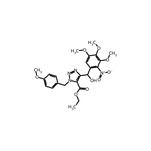 CCOC(=O)c1c(C(O)c2cc(OC)c(OC)c(OC)c2[N+](=O)[O-])nnn1Cc1ccc(OC)cc1